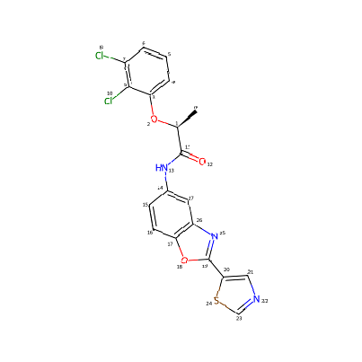 C[C@H](Oc1cccc(Cl)c1Cl)C(=O)Nc1ccc2oc(-c3cncs3)nc2c1